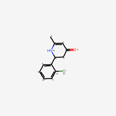 CC1=CC(=O)CC(c2ccccc2Cl)N1